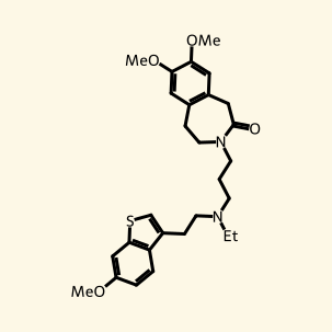 CCN(CCCN1CCc2cc(OC)c(OC)cc2CC1=O)CCc1csc2cc(OC)ccc12